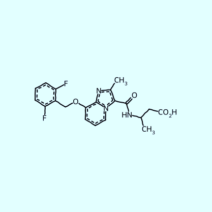 Cc1nc2c(OCc3c(F)cccc3F)cccn2c1C(=O)NC(C)CC(=O)O